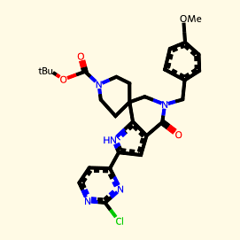 COc1ccc(CN2CC3(CCN(C(=O)OC(C)(C)C)CC3)c3[nH]c(-c4ccnc(Cl)n4)cc3C2=O)cc1